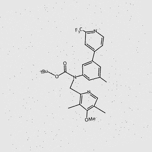 COc1c(C)cnc(CN(C(=O)OC(C)(C)C)c2cc(C)cc(-c3ccnc(C(F)(F)F)c3)c2)c1C